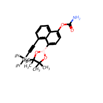 CC(C)[Si](C#Cc1cccc2c(OC(N)=O)ccc(B3OC(C)(C)C(C)(C)O3)c12)(C(C)C)C(C)C